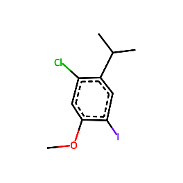 COc1cc(Cl)c(C(C)C)cc1I